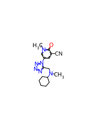 CN(Cc1nnnn1-c1cc(C#N)c(=O)n(C)c1)C1CCCCC1